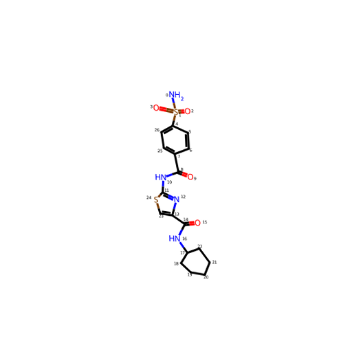 NS(=O)(=O)c1ccc(C(=O)Nc2nc(C(=O)NC3CCCCC3)cs2)cc1